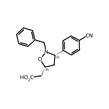 N#Cc1ccc([C@@H]2C[C@H](CC(=O)O)ON2Cc2ccccc2)cc1